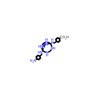 Nc1ccc(CNC23CNCCNCC(NCc4ccc(C(=O)O)cc4)(CNCCNC2)CNCCNC3)cc1